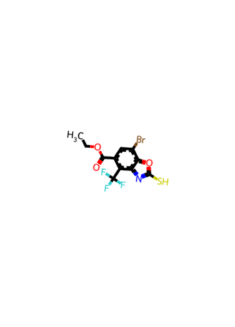 CCOC(=O)c1cc(Br)c2oc(S)nc2c1C(F)(F)F